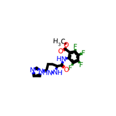 COC(=O)c1c(F)c(F)c(F)c(F)c1NC(=O)C1CCC(n2ccnc2)NN1